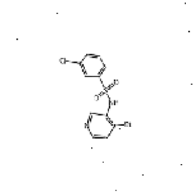 CCc1ccncc1NS(=O)(=O)c1cccc(Cl)c1